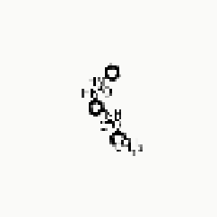 C/C=C\C(=C/C)OC(=O)Nc1cccc(NC(=O)Nc2ccccc2)c1